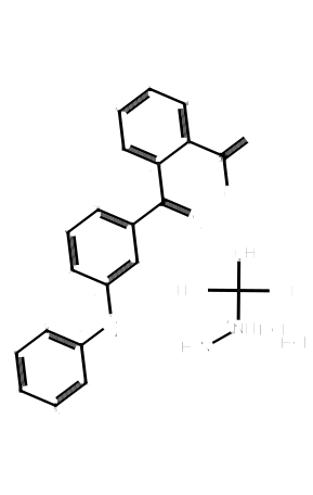 CC(C)(C)NN.Cl.Cl.O=C(Cl)c1ccccc1C(=O)c1cccc(Oc2ccccc2)c1